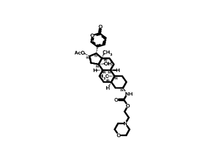 CC(=O)O[C@H]1C[C@]2(O)[C@@H]3CC[C@@H]4C[C@@H](NC(=O)OCCN5CCOCC5)CC[C@]4(C)[C@H]3CC[C@]2(C)[C@H]1c1ccc(=O)oc1